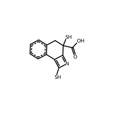 O=C(O)C1(S)Cc2ccccc2C2=C(S)N=C21